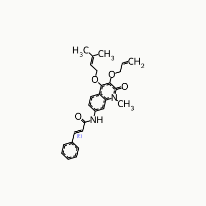 C=CCOc1c(OCC=C(C)C)c2ccc(NC(=O)/C=C/c3ccccc3)cc2n(C)c1=O